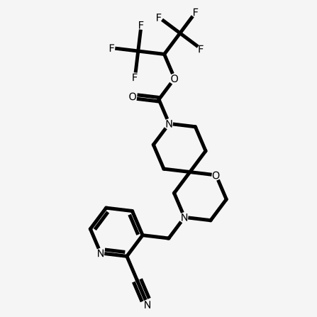 N#Cc1ncccc1CN1CCOC2(CCN(C(=O)OC(C(F)(F)F)C(F)(F)F)CC2)C1